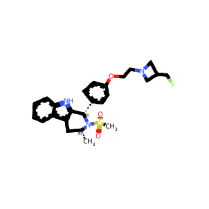 C[C@@H]1Cc2c([nH]c3ccccc23)[C@H](c2ccc(OCCN3CC(CF)C3)cc2)N1S(C)(=O)=O